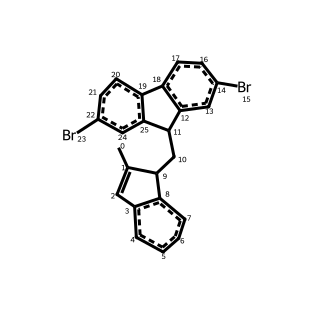 CC1=Cc2ccccc2C1CC1c2cc(Br)ccc2-c2ccc(Br)cc21